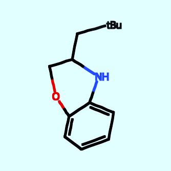 CC(C)(C)CC1COc2ccccc2N1